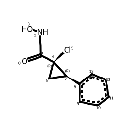 O=C(NO)[C@@]1(Cl)C[C@@H]1c1ccccc1